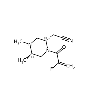 C=C(F)C(=O)N1C[C@@H](C)N(C)C[C@@H]1CC#N